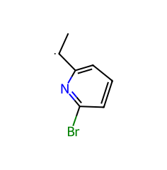 C[CH]c1cccc(Br)n1